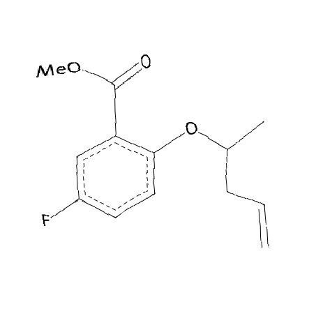 C=CCC(C)Oc1ccc(F)cc1C(=O)OC